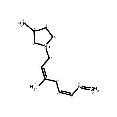 C/C(=C/CN1CCC(N)C1)C/C=C\N=[SiH2]